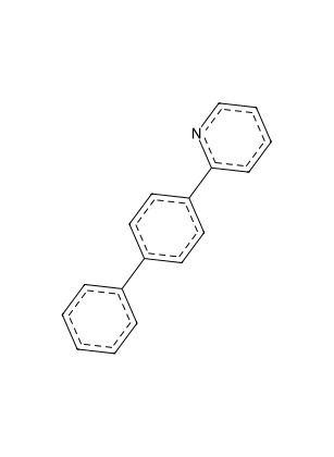 c1ccc(-c2ccc(-c3ccccn3)cc2)cc1